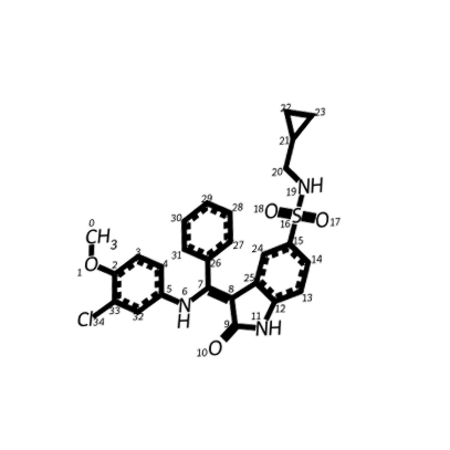 COc1ccc(N/C(=C2\C(=O)Nc3ccc(S(=O)(=O)NCC4CC4)cc32)c2ccccc2)cc1Cl